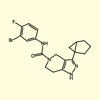 O=C(Nc1ccc(F)c(Br)c1)N1CCc2[nH]nc(C34CCCC3C4)c2C1